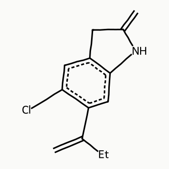 C=C1Cc2cc(Cl)c(C(=C)CC)cc2N1